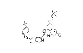 COC(=O)CC(NC(=O)c1cc2cc(Oc3ccc(C(C)(C)C)cc3)ccc2cn1)c1ccc(OCCC(C)(C)C)cc1